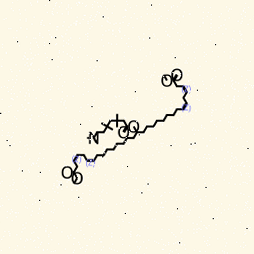 COC(=O)C/C=C\C/C=C\CCCCCCCCC(CCCCCCCC/C=C\C/C=C\CC(=O)OC)OC(=O)CC(C)(C)CC(C)(C)CCN(C)C